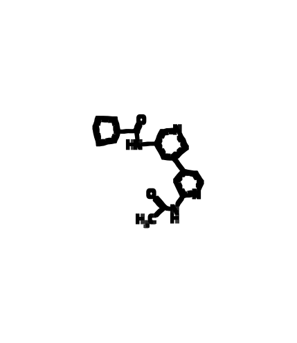 CC(=O)Nc1cc(-c2cncc(NC(=O)c3ccccc3)c2)ccn1